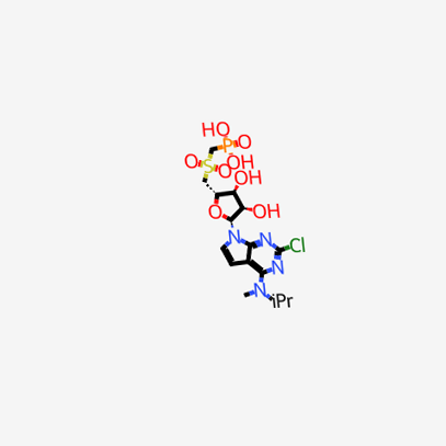 CC(C)N(C)c1nc(Cl)nc2c1ccn2[C@@H]1O[C@H](CS(=O)(=O)CP(=O)(O)O)[C@@H](O)[C@H]1O